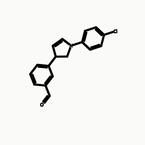 O=Cc1cccc(C2C=CN(c3ccc(Cl)cc3)C2)c1